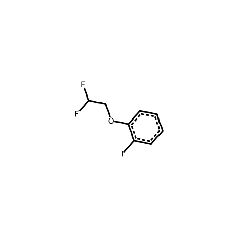 FC(F)COc1ccccc1I